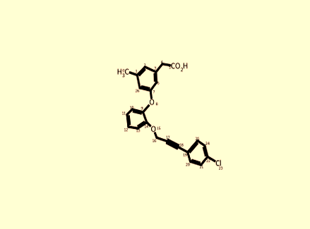 Cc1cc(CC(=O)O)cc(Oc2ccccc2OCC#Cc2ccc(Cl)cc2)c1